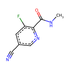 CNC(=O)c1ncc(C#N)cc1F